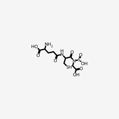 NC(CCC(=O)NC(CS)C(=O)N(CC(=O)O)S(=O)O)C(=O)O